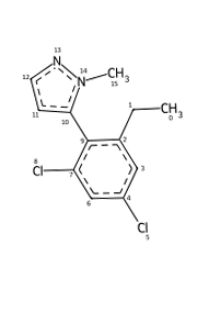 CCc1cc(Cl)cc(Cl)c1-c1ccnn1C